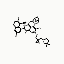 C#CC1=C(F)CCc2cc(O)cc(C3NC4=c5c(c(C#N)c(OCC6(CN7CCC(C)(C)C7)CC6)nc5=C3F)N3CC5CC(N5)C3O4)c21